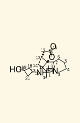 C[C@@H]1N2CCCC[C@@H]2[C@@]23OC(=O)C=C2CC13NC1CC(O)C1